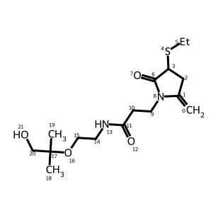 C=C1CC(SCC)C(=O)N1CCC(=O)NCCOC(C)(C)CO